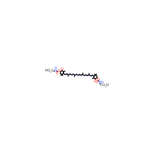 CC1=C(/C=C/C(C)=C/C=C/C(C)=C/C=C/C=C(C)/C=C/C=C(C)/C=C/C2=C(C)C(=O)C(OC(=O)NCC(=O)O)CC2(C)C)C(C)(C)CC(OC(=O)NCC(=O)O)C1=O